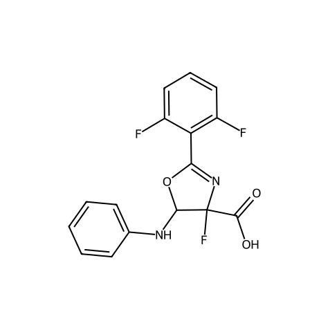 O=C(O)C1(F)N=C(c2c(F)cccc2F)OC1Nc1ccccc1